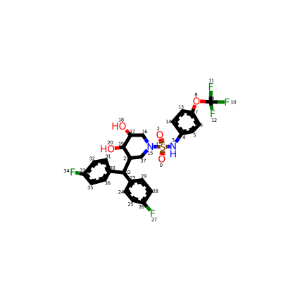 O=S(=O)(Nc1ccc(OC(F)(F)F)cc1)N1CC(O)C(O)C(C(c2ccc(F)cc2)c2ccc(F)cc2)C1